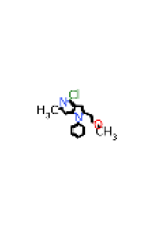 COC=Cc1cc2c(Cl)nc(C)cc2n1-c1ccccc1